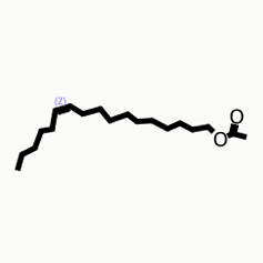 CCCCC/C=C\CCCCCCCCCCOC(C)=O